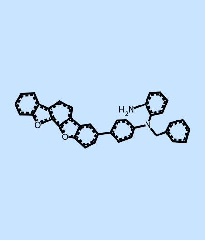 Nc1ccccc1N(Cc1ccccc1)c1ccc(-c2ccc3oc4c(ccc5c6ccccc6oc54)c3c2)cc1